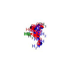 Br.Br.C[C@H](NC(=O)[C@@H]1CCCN1C(=O)CNC(=O)CNC(=O)[C@@H]1CCCN1C(=O)CN)C(=O)NCCNc1ccc(NCCNC(=O)[C@H](C)NC(=O)[C@@H]2CCCN2C(=O)CNC(=O)CNC(=O)[C@@H]2CCCN2C(=O)CN)c2c1C(=O)c1c(O)ccc(O)c1C2=O